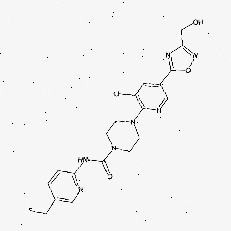 O=C(Nc1ccc(CF)cn1)N1CCN(c2ncc(-c3nc(CO)no3)cc2Cl)CC1